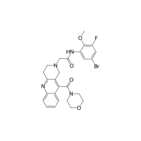 COc1c(F)cc(Br)cc1NC(=O)CN1CCc2nc3ccccc3c(C(=O)N3CCOCC3)c2C1